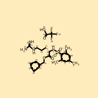 Cc1cc(C)c(S(=O)(=O)N[C@@H](CCCNC(=N)N)C(=O)OCc2ccccc2)c(C)c1.O=C(O)C(F)(F)F